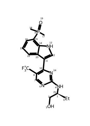 CC[C@@H](CO)Nc1ncc(C(F)(F)F)c(-c2c[nH]c3c(P(C)(C)=O)cccc23)n1